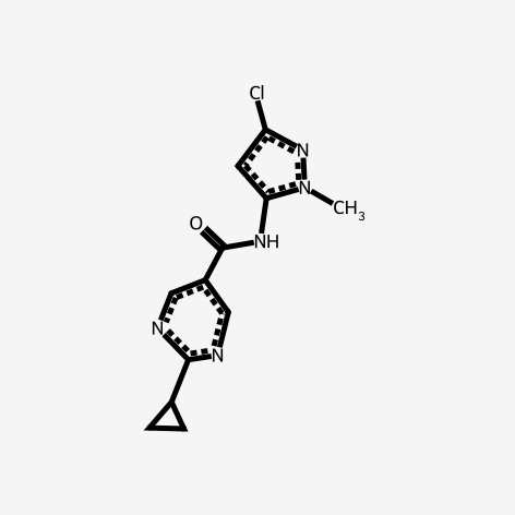 Cn1nc(Cl)cc1NC(=O)c1cnc(C2CC2)nc1